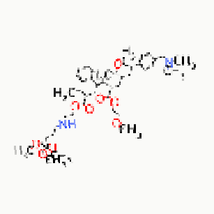 CCC(CC(CC(CC(CC(C)c1ccc(CN(C)C)cc1)C(C)=O)C(=O)OCCOC)c1ccccc1)C(=O)OCCNCCC[Si](OC)(OC)OC